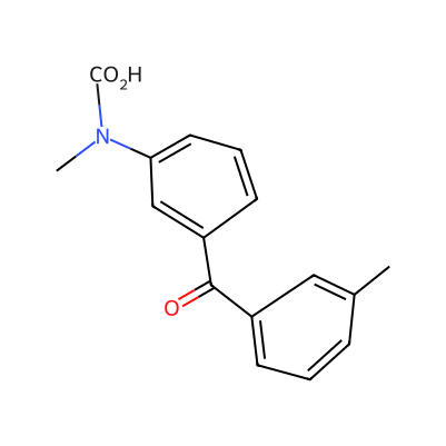 Cc1cccc(C(=O)c2cccc(N(C)C(=O)O)c2)c1